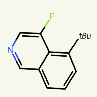 CC(C)(C)c1cccc2cncc(F)c12